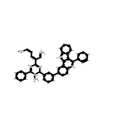 C=C/C(=C\C=C/C)C1=NC(c2cccc(-c3ccc4nc(-c5c#cccc5)c5c6ccccc6sc5c4c3)c2)N(C)C(c2ccccc2)=N1